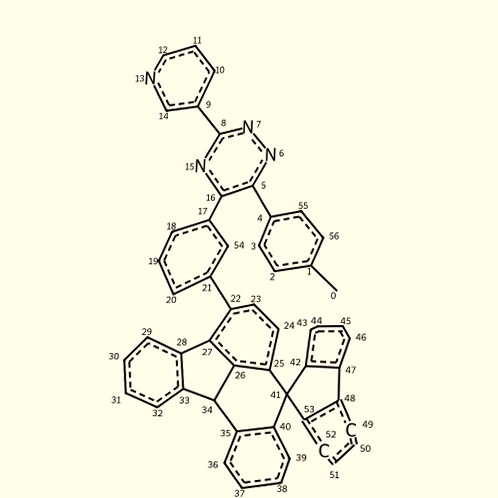 Cc1ccc(-c2nnc(-c3cccnc3)nc2-c2cccc(-c3ccc4c5c3-c3ccccc3C5c3ccccc3C43c4ccccc4-c4ccccc43)c2)cc1